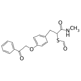 CNC(=O)C(Cc1ccc(OCC(=O)c2ccccc2)cc1)SC=O